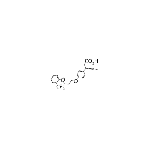 CC#CC(CC(=O)O)c1ccc(OCC[C@H](C)Oc2ccccc2C(F)(F)F)cc1